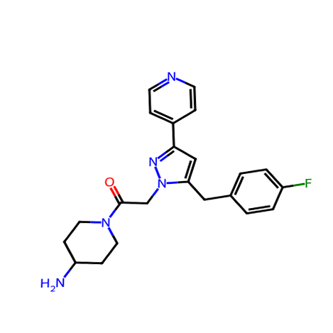 NC1CCN(C(=O)Cn2nc(-c3ccncc3)cc2Cc2ccc(F)cc2)CC1